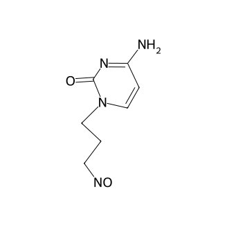 Nc1ccn(CCCN=O)c(=O)n1